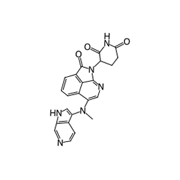 CN(c1c[nH]c2cnccc12)c1cnc2c3c(cccc13)C(=O)N2C1CCC(=O)NC1=O